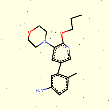 CCCOc1ncc(-c2cc(N)ccc2C)cc1N1CCOCC1